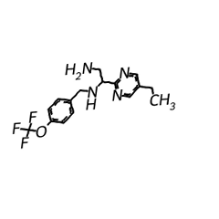 CCc1cnc(C(CN)NCc2ccc(OC(F)(F)F)cc2)nc1